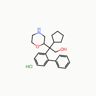 Cl.OCC(c1ccccc1-c1ccccc1)(C1CCCC1)C1CNCCO1